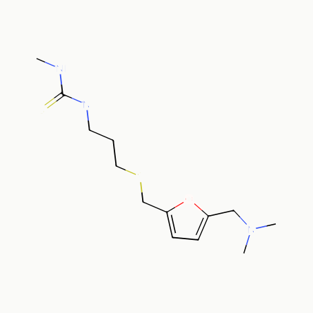 CNC(=S)NCCCSCc1ccc(CN(C)C)o1